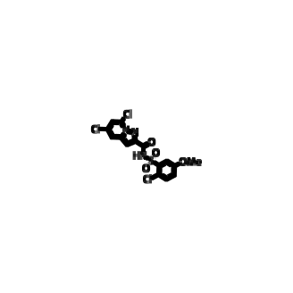 COc1ccc(Cl)c(S(=O)(=O)NC(=O)c2cc3cc(Cl)cc(Cl)n3n2)c1